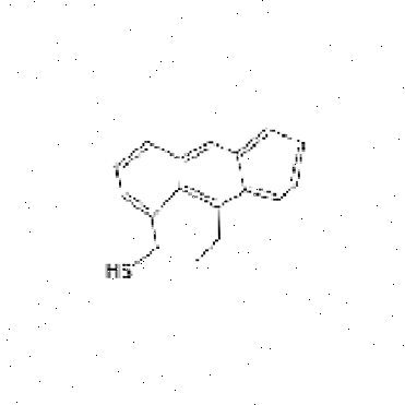 CCc1c2ccccc2cc2cccc(CS)c12